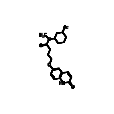 CC(=O)C1CCCC(N(C)C(=O)CCCOc2ccc3[nH]c(=O)ccc3c2)C1